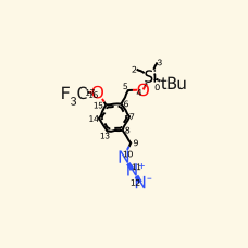 CC(C)(C)[Si](C)(C)OCc1cc(CN=[N+]=[N-])ccc1OC(F)(F)F